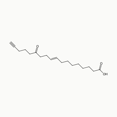 C#CCCCC(=O)CCC=CCCCCCCCC(=O)O